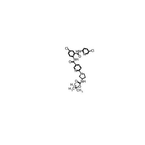 CC(C)(C)OC(=O)NC1CCN(c2ccc(C(=O)Nc3ccc(Cl)cc3C(=O)Nc3ccc(Cl)cn3)cn2)C1